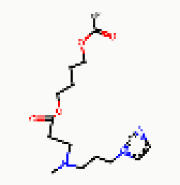 CCCC(=O)OCCCCOC(=O)CCN(C)CCCn1ccnc1